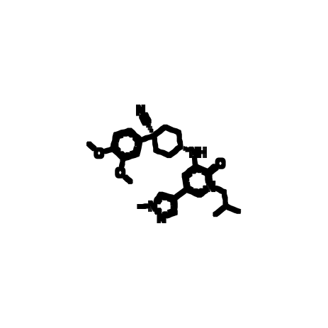 COc1ccc([C@]2(C#N)CC[C@@H](Nc3cc(-c4cnn(C)c4)cn(CC(C)C)c3=O)CC2)cc1OC